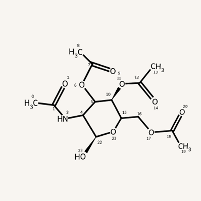 CC(=O)NC1C(OC(C)=O)[C@@H](OC(C)=O)C(COC(C)=O)O[C@H]1O